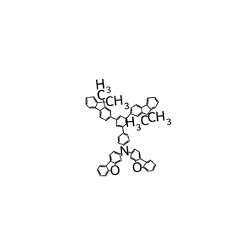 CC1(C)c2ccccc2-c2ccc(-c3cc(-c4ccc(N(c5ccc6c(c5)oc5ccccc56)c5ccc6c(c5)oc5ccccc56)cc4)cc(-c4ccc5c(c4)C(C)(C)c4ccccc4-5)c3)cc21